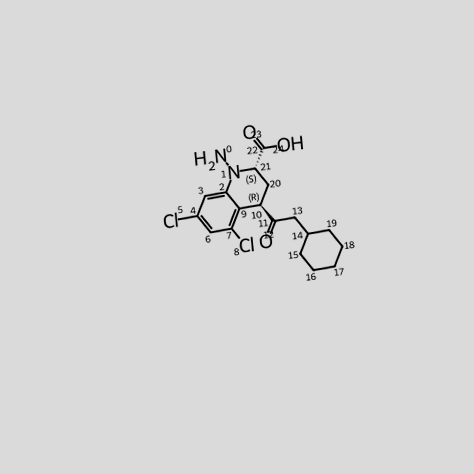 NN1c2cc(Cl)cc(Cl)c2[C@H](C(=O)CC2CCCCC2)C[C@H]1C(=O)O